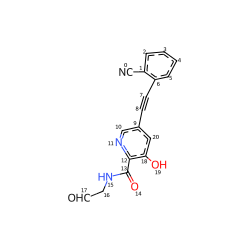 N#Cc1ccccc1C#Cc1cnc(C(=O)NCC=O)c(O)c1